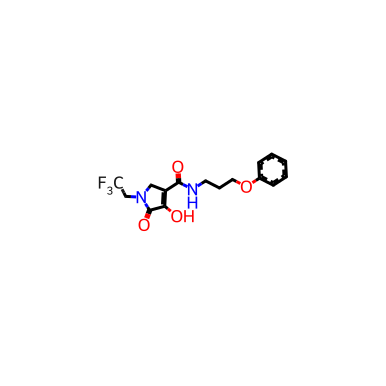 O=C(NCCCOc1ccccc1)C1=C(O)C(=O)N(CC(F)(F)F)C1